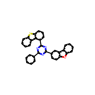 c1ccc(-c2nc(-c3ccc4oc5ccccc5c4c3)nc(-c3cccc4sc5ccccc5c34)n2)cc1